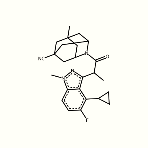 CC(C(=O)N1C2CC3(C)CC1CC(C#N)(C2)C3)c1nn(C)c2ccc(F)c(C3CC3)c12